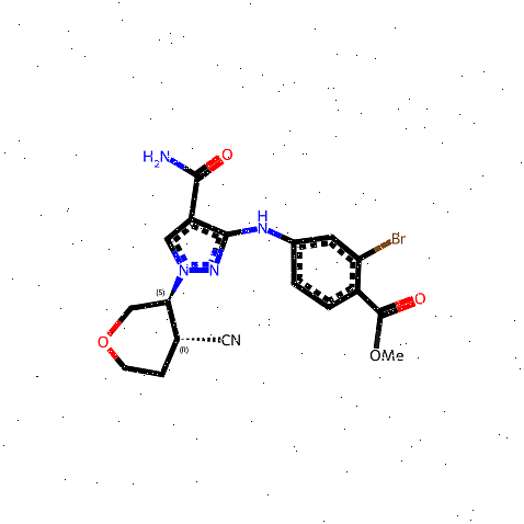 COC(=O)c1ccc(Nc2nn([C@@H]3COCC[C@H]3C#N)cc2C(N)=O)cc1Br